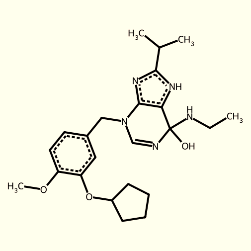 CCNC1(O)N=CN(Cc2ccc(OC)c(OC3CCCC3)c2)c2nc(C(C)C)[nH]c21